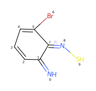 N=C1C=CC=C(Br)/C1=N/S